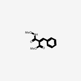 CONC(=O)/C(=C/c1ccccc1)C(=O)OC